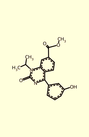 COC(=O)c1ccc2c(-c3cccc(O)c3)nc(=O)n(C(C)C)c2c1